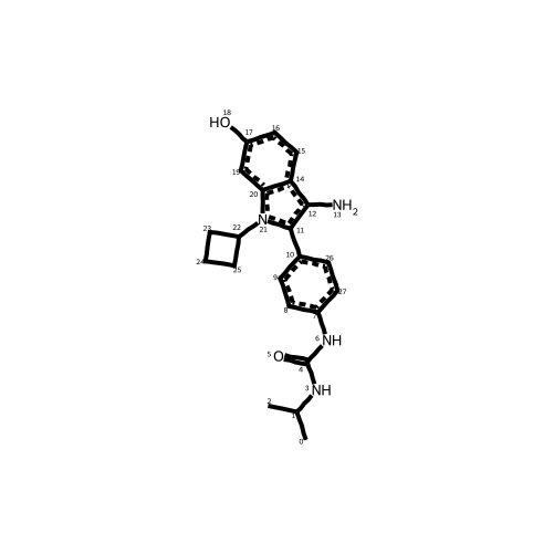 CC(C)NC(=O)Nc1ccc(-c2c(N)c3ccc(O)cc3n2C2CCC2)cc1